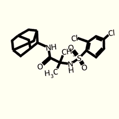 CC(C)(NS(=O)(=O)c1ccc(Cl)cc1Cl)C(=O)NC1C2CC3CC(C2)CC1C3